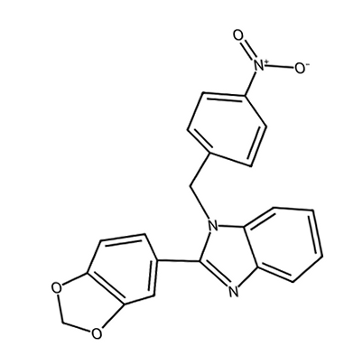 O=[N+]([O-])c1ccc(Cn2c(-c3ccc4c(c3)OCO4)nc3ccccc32)cc1